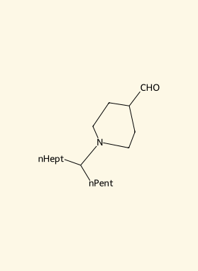 CCCCCCCC(CCCCC)N1CCC(C=O)CC1